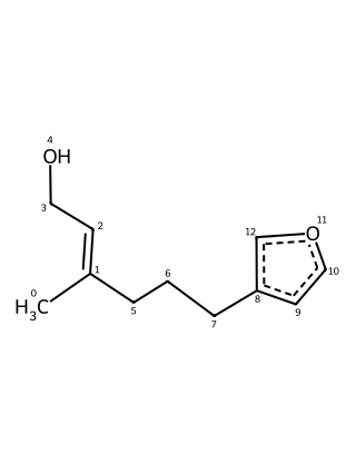 CC(=CCO)CCCc1ccoc1